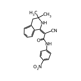 CC1(C)Cc2ccccc2C(=C(C#N)C(=O)Nc2ccc([N+](=O)[O-])cc2)N1